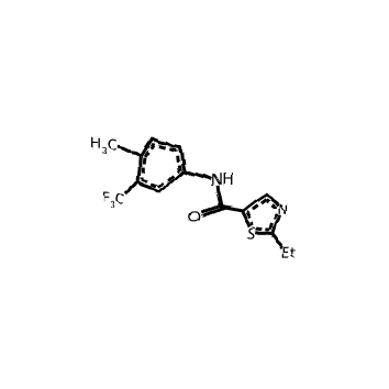 CCc1ncc(C(=O)Nc2ccc(C)c(C(F)(F)F)c2)s1